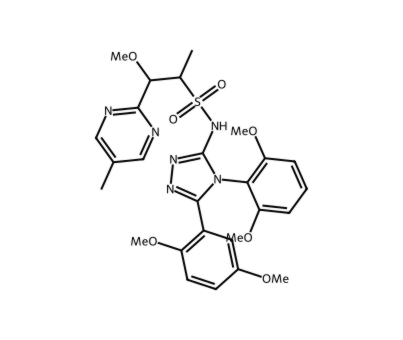 COc1ccc(OC)c(-c2nnc(NS(=O)(=O)C(C)C(OC)c3ncc(C)cn3)n2-c2c(OC)cccc2OC)c1